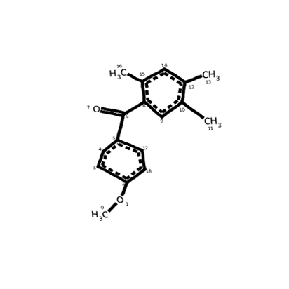 COc1ccc(C(=O)c2cc(C)c(C)cc2C)cc1